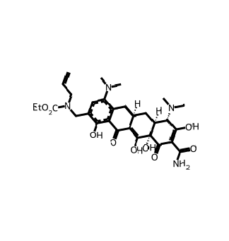 C=CCN(Cc1cc(N(C)C)c2c(c1O)C(=O)C1=C(O)[C@]3(O)C(=O)C(C(N)=O)=C(O)[C@@H](N(C)C)[C@@H]3C[C@@H]1C2)C(=O)OCC